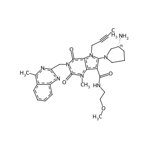 CC#CCn1c(N2CCC[C@@H](N)C2)c(C(=O)NCCOC)c2c1c(=O)n(Cc1nc(C)c3ccccc3n1)c(=O)n2C